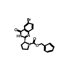 O=C(OCc1ccccc1)N1CCC[C@H]1c1nc2ccc(Br)cc2c(=O)[nH]1